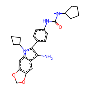 Nc1c(-c2ccc(NC(=O)NC3CCCC3)cc2)n(C2CCC2)c2cc3c(cc12)OCO3